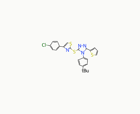 CC(C)(C)c1ccc(-n2c(Sc3nc(-c4ccc(Cl)cc4)cs3)nnc2-c2cccs2)cc1